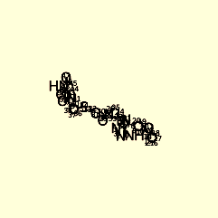 Nc1ncnc2c1c(-c1ccc(Oc3ccccc3)cc1)nn2C1CCCN(C(=O)COCCSc2cccc3c2CN(C2CCC(=O)NC2=O)C3=O)C1